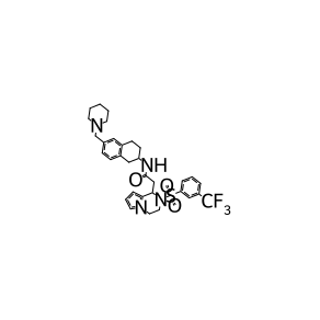 O=C(CC1c2cccn2CCN1S(=O)(=O)c1cccc(C(F)(F)F)c1)NC1CCc2cc(CN3CCCCC3)ccc2C1